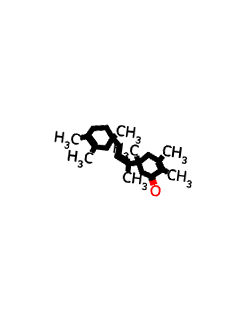 CC(=CCC1(C)CCC(C)=C(C)C1)C1(C)CC(=O)C(C)=C(C)C1